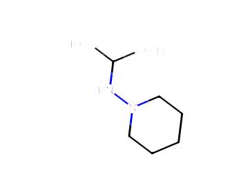 O=C(O)C(NN1CCCCC1)C(=O)O